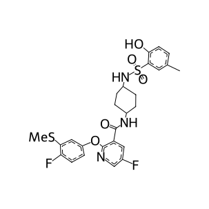 CSc1cc(Oc2ncc(F)cc2C(=O)NC2CCC(NS(=O)(=O)c3cc(C)ccc3O)CC2)ccc1F